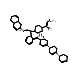 C/C=C(\CC)C1CCC(C(CNC2C=CC3CCC=CC3C2)C2C=CC=C/C2=C(/C)C2CC=C([C@@H]3CC=C([C@@H]4CC=CCC4)CC3)CC2)CC1